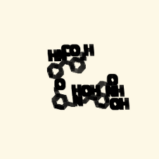 O=C(O)NC(c1ccccc1)c1cccc(OCc2cccc(CNCC(O)c3ccc(O)c4[nH]c(=O)ccc34)c2)c1